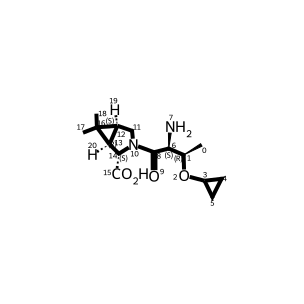 C[C@@H](OC1CC1)[C@H](N)C(=O)N1C[C@H]2[C@@H]([C@H]1C(=O)O)C2(C)C